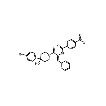 O=C(NC(=Cc1ccccc1)C(=O)N1CCC(O)(c2ccc(Br)cc2)CC1)c1ccc([N+](=O)[O-])cc1